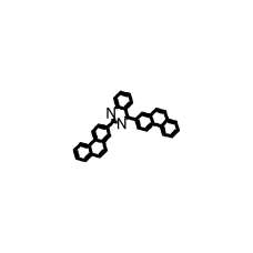 c1ccc2c(c1)ccc1cc(-c3nc(-c4ccc5c(ccc6ccccc65)c4)c4ccccc4n3)ccc12